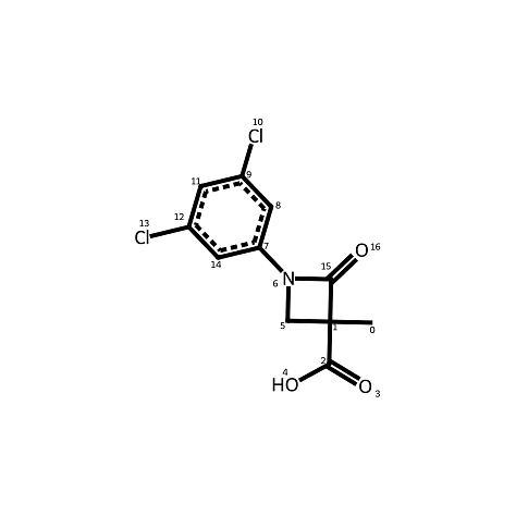 CC1(C(=O)O)CN(c2cc(Cl)cc(Cl)c2)C1=O